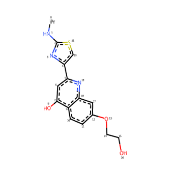 CC(C)Nc1nc(-c2cc(O)c3ccc(OCCO)cc3n2)cs1